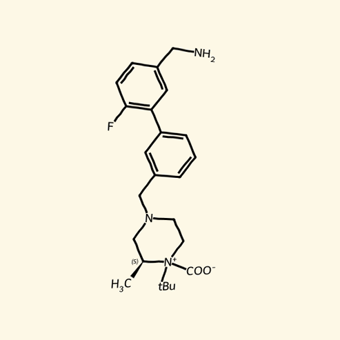 C[C@H]1CN(Cc2cccc(-c3cc(CN)ccc3F)c2)CC[N+]1(C(=O)[O-])C(C)(C)C